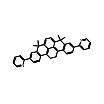 CC1(C)c2cc(-c3ccccn3)ccc2C2=c3c1ccc1c3=C(CC2)c2ccc(-c3ccccn3)cc2C1(C)C